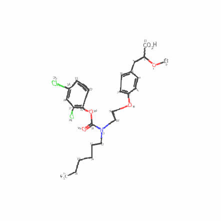 CCOC(Cc1ccc(OCCN(CCCCCC(F)(F)F)C(=O)Oc2ccc(Cl)cc2Cl)cc1)C(=O)O